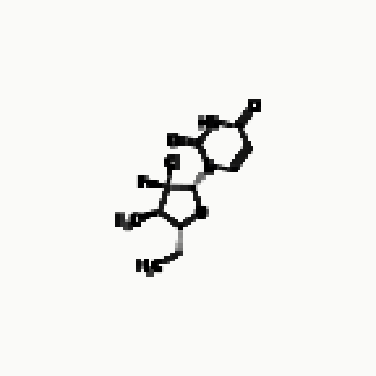 CC[C@H]1O[C@@H](n2ccc(=O)[nH]c2=O)[C@@](F)(Cl)[C@@H]1C